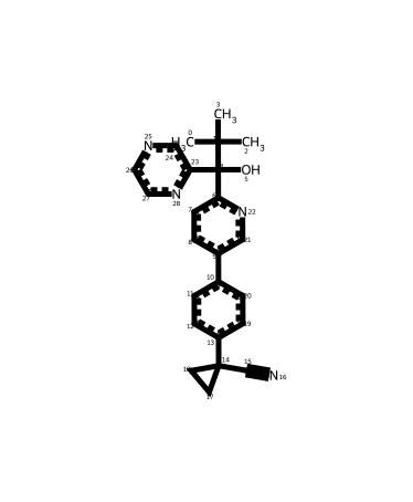 CC(C)(C)C(O)(c1ccc(-c2ccc(C3(C#N)CC3)cc2)cn1)c1cnccn1